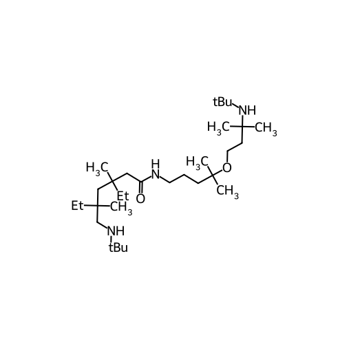 CCC(C)(CNC(C)(C)C)CC(C)(CC)CC(=O)NCCCC(C)(C)OCCC(C)(C)NC(C)(C)C